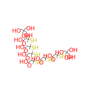 CC(C)(S)CC(=O)O.CC(C)(S)CC(=O)O.CC(C)(S)CC(=O)O.CC(C)(S)CC(=O)O.CC(C)(S)CC(=O)O.CC(C)(S)CC(=O)O.OCC(CO)(CO)CO.OCC(CO)(CO)CO